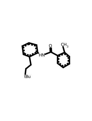 Cc1ccccc1C(=O)Nc1ccccc1CCC(C)(C)C